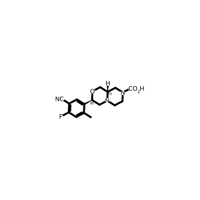 Cc1cc(F)c(C#N)cc1[C@@H]1CN2CCN(C(=O)O)C[C@H]2CO1